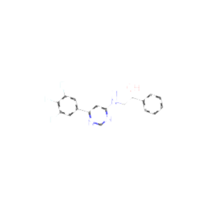 O[C@@H](CNc1cc(-c2cc(F)c(F)c(F)c2)ncn1)c1ccccc1